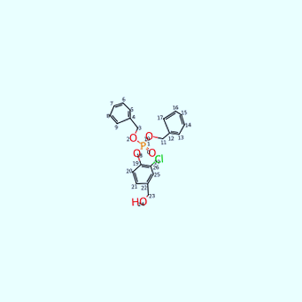 O=P(OCc1ccccc1)(OCc1ccccc1)Oc1ccc(CO)cc1Cl